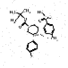 CC(C)(C)OC(=O)N1CC[C@H](N)[C@H](c2ccc(F)cc2)C1.Cc1ccc(S(=O)(=O)O)cc1